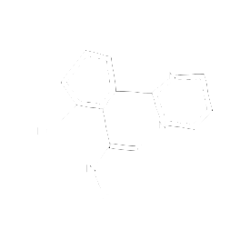 O=C(NO)c1c(O)cccc1-c1ncccn1